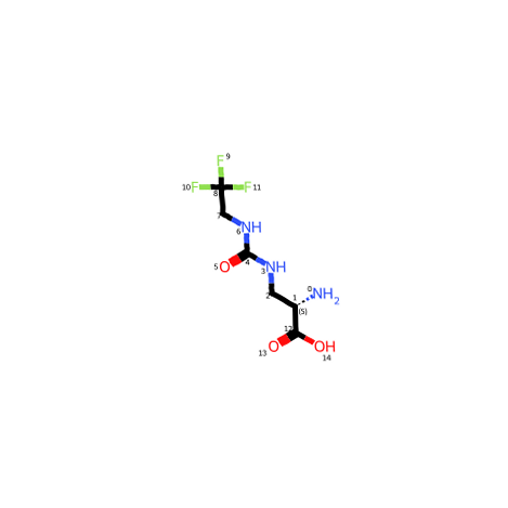 N[C@@H](CNC(=O)NCC(F)(F)F)C(=O)O